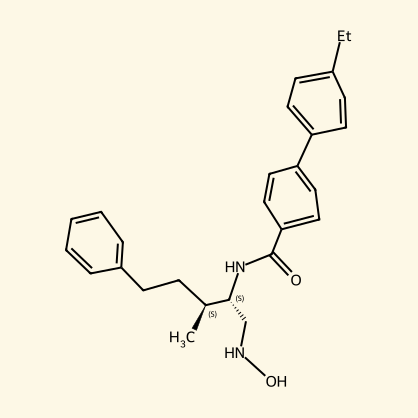 CCc1ccc(-c2ccc(C(=O)N[C@H](CNO)[C@@H](C)CCc3ccccc3)cc2)cc1